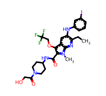 CCc1nc2c(cc1Nc1cccc(I)c1)c(OCC(F)(F)F)c(C(=O)NC1CCN(C(=O)CO)CC1)n2C